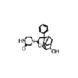 O=C1CN(C(=O)CC2(c3ccccc3)C3CC4CC2CC(C3)C4O)CCN1